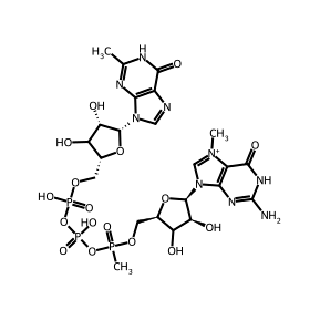 Cc1nc2c(ncn2[C@@H]2O[C@H](COP(=O)(O)OP(=O)(O)OP(C)(=O)OC[C@H]3O[C@@H](n4c[n+](C)c5c(=O)[nH]c(N)nc54)[C@@H](O)C3O)C(O)[C@@H]2O)c(=O)[nH]1